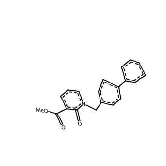 COC(=O)c1cccn(Cc2ccc(-c3ccccc3)cc2)c1=O